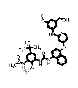 COc1cc(CO)cc(Nc2cc(Oc3ccc(NC(=O)Nc4cc(C(C)(C)C)cc(N[S+](C)[O-])c4OC)c4ccccc34)ccn2)c1